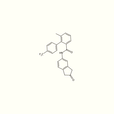 Cc1cccc(C(=O)Nc2ccc3c(c2)CC(=O)C3)c1-c1ccc(C(F)(F)F)cc1